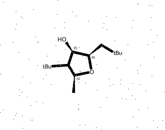 C[C@@H]1O[C@H](CC(C)(C)C)[C@H](O)C1C(C)(C)C